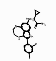 NC(=O)[C@@H](Nc1cc2c3c(c(-c4ccc(F)cc4F)[nH]c3c1)NCCO2)C1CC1